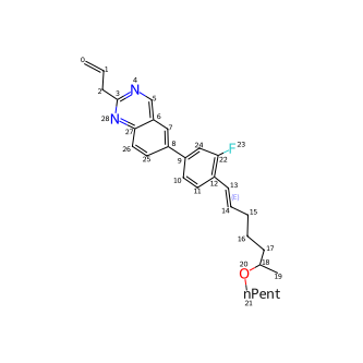 C=CCc1ncc2cc(-c3ccc(/C=C/CCCC(C)OCCCCC)c(F)c3)ccc2n1